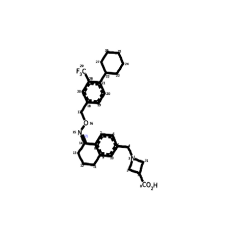 O=C(O)C1CN(Cc2ccc3c(c2)CCC/C3=N/OCc2ccc(C3CCCCC3)c(C(F)(F)F)c2)C1